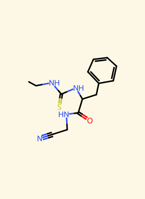 CCNC(=S)NC(Cc1ccccc1)C(=O)NCC#N